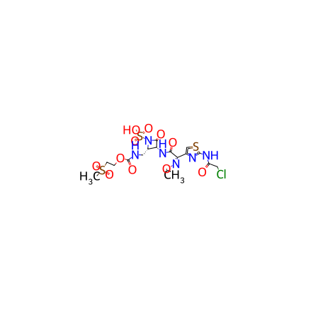 CON=C(C(=O)N[C@H]1C(=O)N(S(=O)(=O)O)[C@H]1CNC(=O)OCCS(C)(=O)=O)c1csc(NC(=O)CCl)n1